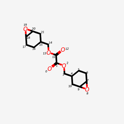 O=C(OCC1CCC2OC2C1)C(=O)OCC1CCC2OC2C1